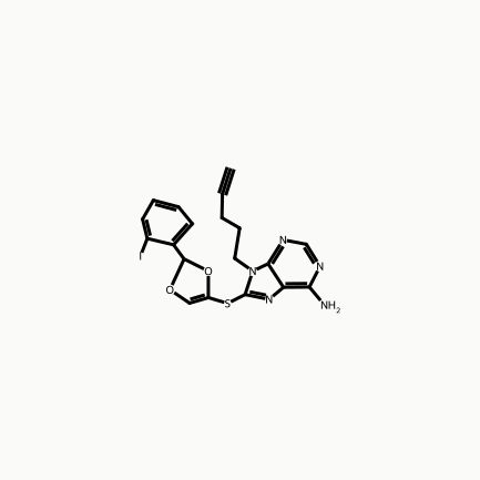 C#CCCCn1c(SC2=COC(c3ccccc3I)O2)nc2c(N)ncnc21